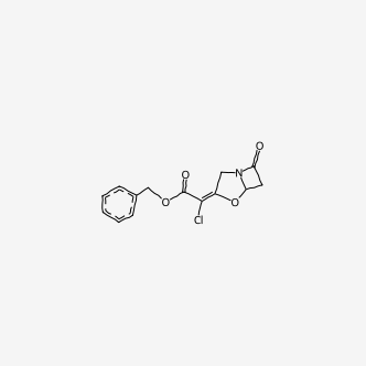 O=C(OCc1ccccc1)C(Cl)=C1CN2C(=O)CC2O1